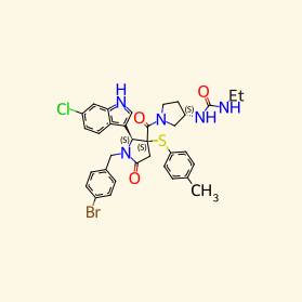 CCNC(=O)N[C@H]1CCN(C(=O)[C@]2(Sc3ccc(C)cc3)CC(=O)N(Cc3ccc(Br)cc3)[C@H]2c2c[nH]c3cc(Cl)ccc23)C1